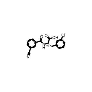 N#Cc1cccc(C(=O)N[C@@H](Cc2cccc(Cl)c2)C(=O)O)c1